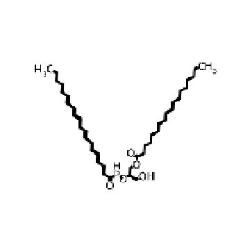 CCCCCC=CCC=CCC=CCC=CCCCC(=O)POC(CO)COC(=O)CCCCCCCCCCCCCCCCC